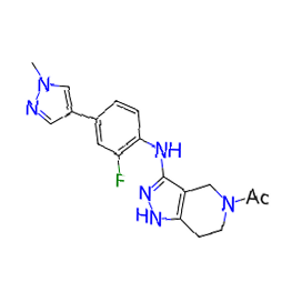 CC(=O)N1CCc2[nH]nc(Nc3ccc(-c4cnn(C)c4)cc3F)c2C1